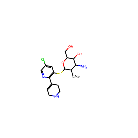 COC1C(Sc2cc(Cl)cnc2C2=CCNCC2)OC(CO)C(O)C1N